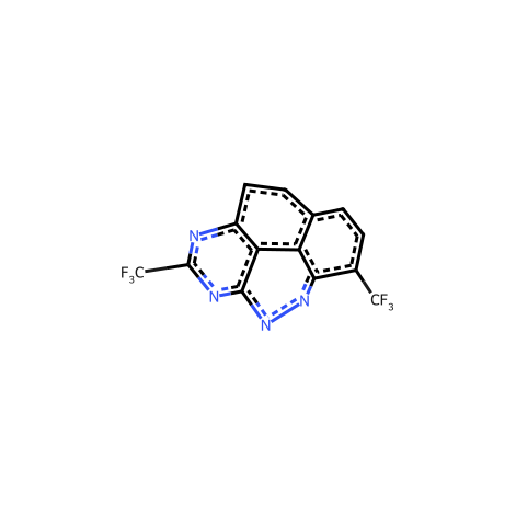 FC(F)(F)c1nc2ccc3ccc(C(F)(F)F)c4nnc(n1)c2c34